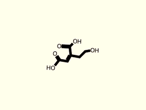 O=C(O)C=C(CCO)C(=O)O